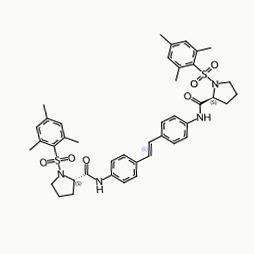 Cc1cc(C)c(S(=O)(=O)N2CCC[C@H]2C(=O)Nc2ccc(/C=C/c3ccc(NC(=O)[C@@H]4CCCN4S(=O)(=O)c4c(C)cc(C)cc4C)cc3)cc2)c(C)c1